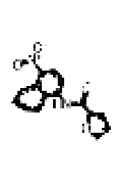 O=C(Nc1ccc([N+](=O)[O-])c2ccccc12)c1ccco1